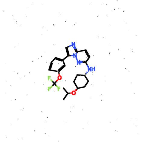 CC(C)O[C@H]1CC[C@H](Nc2ccc3ncc(-c4cccc(OC(F)(F)F)c4)n3n2)CC1